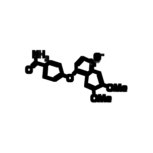 COc1cc2c(Oc3ccc(C(N)=O)cc3)cc[n+]([O-])c2cc1OC